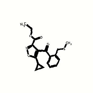 CCOC(=O)c1noc(C2CC2)c1C(=O)c1ccccc1CSC